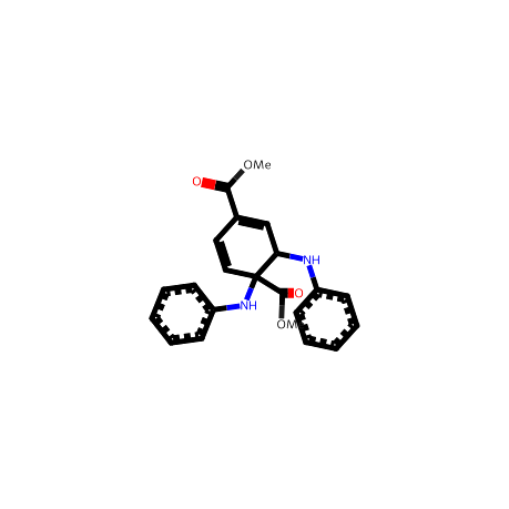 COC(=O)C1=CC(Nc2ccccc2)C(Nc2ccccc2)(C(=O)OC)C=C1